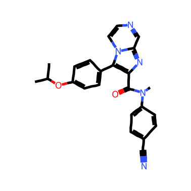 CC(C)Oc1ccc(-c2c(C(=O)N(C)c3ccc(C#N)cc3)nc3cnccn23)cc1